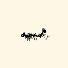 CN[C@H](C(=O)N[C@H](C(=O)N(C)C/C=C(\C)C(=O)NCCCC[C@H](NC(=O)CCCN1C(=O)C=CC1=O)C(=O)O)C(C)(C)C)C(C)(C)c1cn(C)c2ccccc12